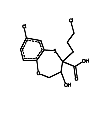 O=C(O)C1(CCCCl)Sc2cc(Cl)ccc2OCC1O